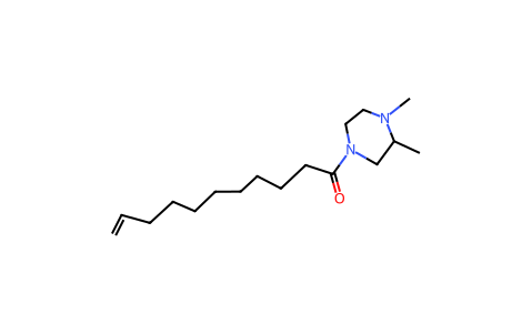 C=CCCCCCCCCC(=O)N1CCN(C)C(C)C1